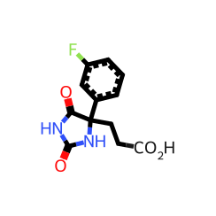 O=C(O)CCC1(c2cccc(F)c2)NC(=O)NC1=O